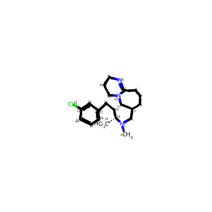 CN(CC1CCCC2=NCCCN2C1)[C@@H](CCc1cccc(Cl)c1)C(=O)O